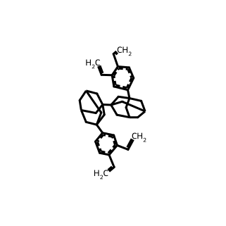 C=Cc1ccc(C23CC4CC(C2)CC(C25CC6CC(CC(c7ccc(C=C)c(C=C)c7)(C6)C2)C5)(C4)C3)cc1C=C